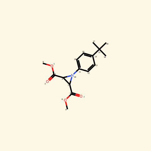 COC(=O)C1C(C(=O)OC)N1c1ccc(C(C)(C)C)cc1